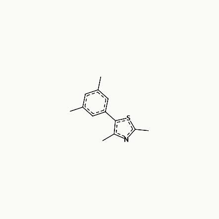 Cc1cc(C)cc(-c2sc(C)nc2C)c1